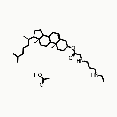 CC(=O)O.CCNCCCNCC(=O)OC1CC[C@@]2(C)C(=CCC3C2CC[C@@]2(C)C3CC[C@@H]2[C@H](C)CCCC(C)C)C1